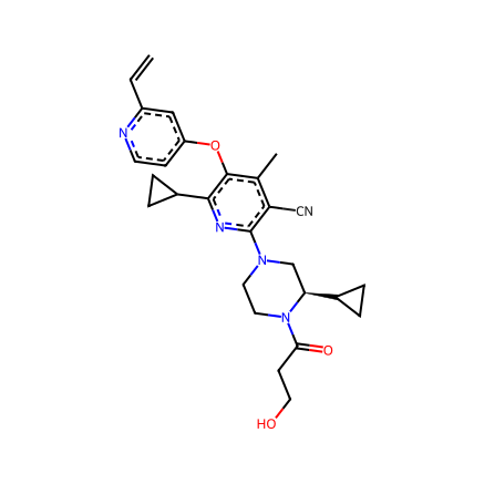 C=Cc1cc(Oc2c(C3CC3)nc(N3CCN(C(=O)CCO)[C@H](C4CC4)C3)c(C#N)c2C)ccn1